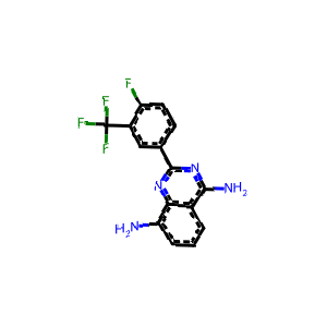 Nc1nc(-c2ccc(F)c(C(F)(F)F)c2)nc2c(N)cccc12